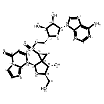 Nc1ncnc2c1ncn2[C@@H]1S[C@H](CO[P@](=O)(S)[C@H]2CC23[C@H](O)[C@@H](CO)O[C@H]3n2ccc(=O)n3ccnc23)[C@@H](O)[C@H]1O